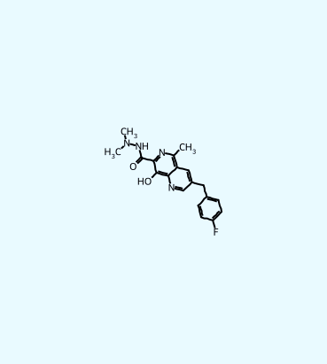 Cc1nc(C(=O)NN(C)C)c(O)c2ncc(Cc3ccc(F)cc3)cc12